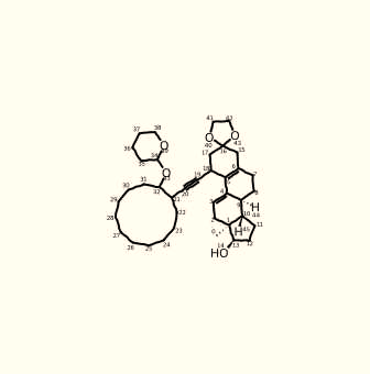 C[C@]12CC=C3C4=C(CC[C@H]3[C@@H]1CC[C@H]2O)CC1(CC4C#CC2CCCCCCCCCCC2OC2CCCCO2)OCCO1